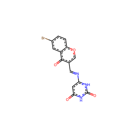 O=c1cc(/N=C/c2coc3ccc(Br)cc3c2=O)[nH]c(=O)[nH]1